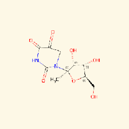 C[C@@]1(N2CC(=O)C(=O)NC2=O)O[C@H](CO)[C@@H](O)[C@H]1O